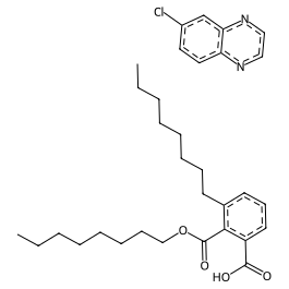 CCCCCCCCOC(=O)c1c(CCCCCCCC)cccc1C(=O)O.Clc1ccc2nccnc2c1